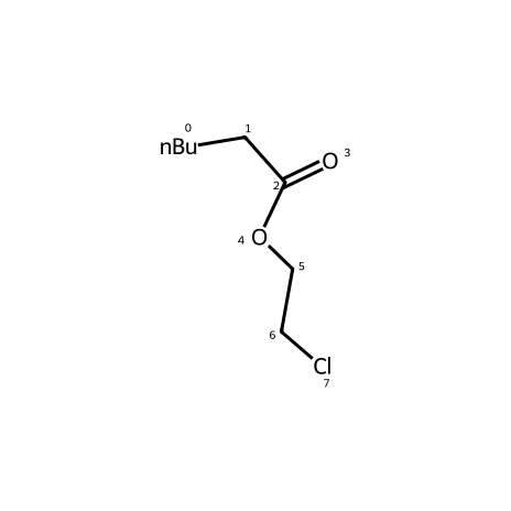 CCCCCC(=O)OCCCl